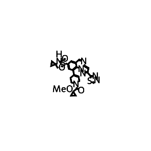 COC1(C(=O)N2CC=C(c3cc(S(=O)(=O)NC4(C)CC4)cc4cnc5cc(-c6nncs6)nn5c34)CC2)CC1